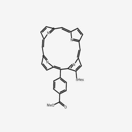 CCCCCCC1=CC2=CC3=NC(=CC4=NC(=CC5=NC(=C(c6ccc(C(=O)OC)cc6)C1=N2)C=C5)C=C4)C=C3